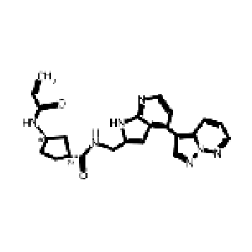 C=CC(=O)N[C@@H]1CC[C@@H](C(=O)NCc2cc3c(-c4cnn5ncccc45)ccnc3[nH]2)C1